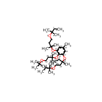 CCC(C)(C)OCCC(C)(C)Oc1cc(C)cc(OC(C)(CC)CCOC(C)(C)CC)c1OC(C)(C)CCOC(C)(C)C